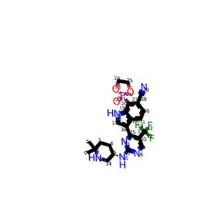 CC1(C)CC[C@H](Nc2ncc(C(F)(F)F)c(-c3c[nH]c4c(P5(=O)OCCO5)c(C#N)ccc34)n2)CN1